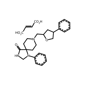 O=C(O)C=CC(=O)O.O=C1NCN(c2ccccc2)C12CCN(CC1CC(c3ccccc3)CO1)CC2